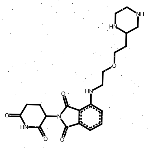 O=C1CCC(N2C(=O)c3cccc(NCCOCCC4CNCCN4)c3C2=O)C(=O)N1